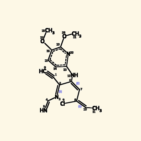 C#CC(=N\C=N)/C(=C\C(Cl)=C/C)Nc1ccc(OC)c(OC)n1